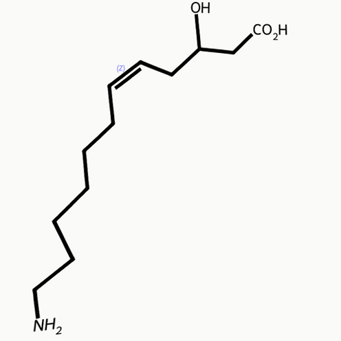 NCCCCCC/C=C\CC(O)CC(=O)O